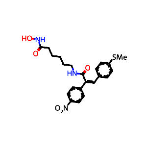 CSc1ccc(/C=C(\C(=O)NCCCCCC(=O)NO)c2ccc([N+](=O)[O-])cc2)cc1